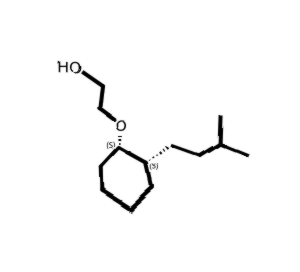 CC(C)CC[C@@H]1CCCC[C@@H]1OCCO